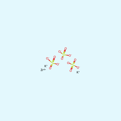 O=S(=O)([O-])[O-].O=S(=O)([O-])[O-].O=S(=O)([O-])[O-].[K+].[K+].[Zr+4]